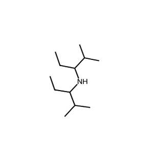 CCC(NC(CC)C(C)C)C(C)C